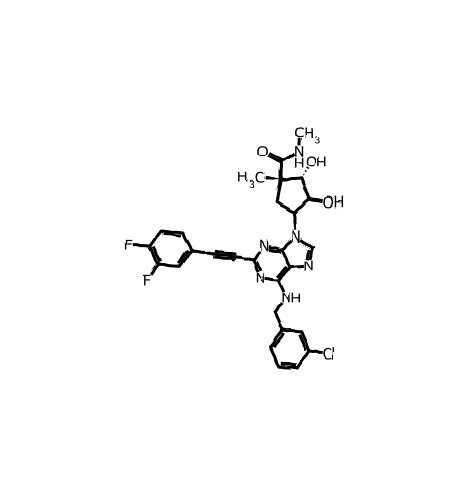 CNC(=O)[C@@]1(C)CC(n2cnc3c(NCc4cccc(Cl)c4)nc(C#Cc4ccc(F)c(F)c4)nc32)C(O)[C@H]1O